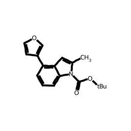 Cc1cc2c(-c3ccoc3)cccc2n1C(=O)OC(C)(C)C